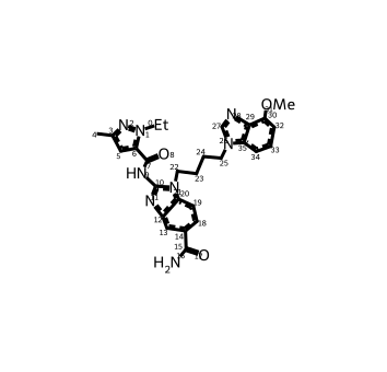 CCn1nc(C)cc1C(=O)Nc1nc2cc(C(N)=O)ccc2n1CCCCn1cnc2c(OC)cccc21